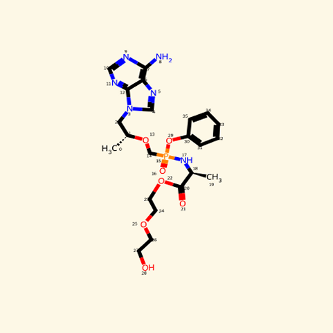 C[C@H](Cn1cnc2c(N)ncnc21)OCP(=O)(N[C@@H](C)C(=O)OCCOCCO)Oc1ccccc1